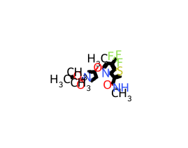 CNC(=O)c1csc2c(C(F)(F)F)c(C)c(O[C@H]3CCN(C(=O)OC(C)(C)C)C3)nc12